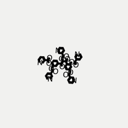 O=C(Oc1cc(OC(=O)c2cccnc2)c2c(=O)c(OC(=O)c3cccnc3)c(-c3ccc(OC(=O)c4cccnc4)c(OC(=O)c4cccnc4)c3)oc2c1)c1cccnc1